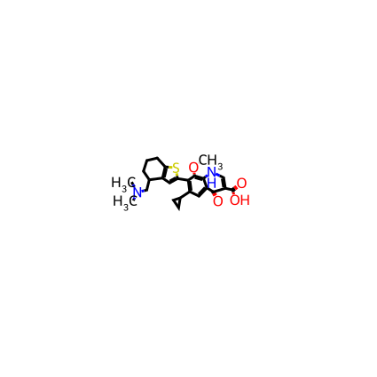 COc1c(-c2cc3c(s2)CCCC3CN(C)C)c(C2CC2)cc2c(=O)c(C(=O)O)c[nH]c12